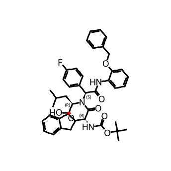 CC(C)C[C@H](C(=O)O)N(C(=O)[C@H](NC(=O)OC(C)(C)C)C1Cc2ccccc2C1)[C@H](C(=O)Nc1ccccc1OCc1ccccc1)c1ccc(F)cc1